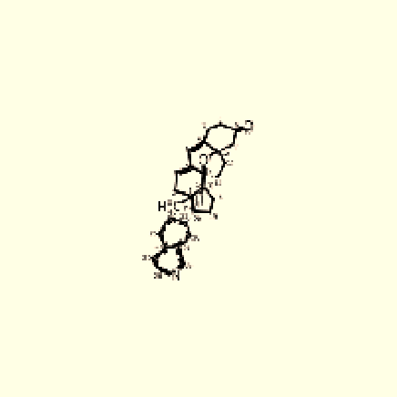 CC12CC=C3C=C4CCC(=O)C[C@]45CC[C@]3(O5)[C@@H]1CC[C@@H]2c1ccc2ccncc2c1